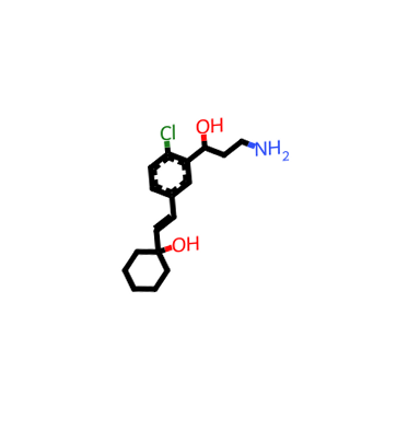 NCCC(O)c1cc(/C=C/C2(O)CCCCC2)ccc1Cl